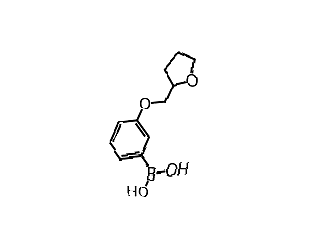 OB(O)c1cccc(OCC2CCCO2)c1